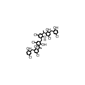 CC(c1cc(Cl)cc(Cc2cc(Cl)ccc2O)c1O)c1cc(Cl)cc(Cc2cc(Cl)cc(C(C)c3cc(Cl)cc(Cc4cc(Cl)ccc4O)c3O)c2O)c1O